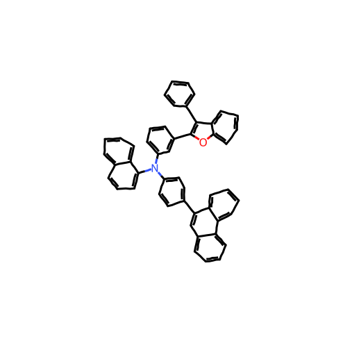 c1ccc(-c2c(-c3cccc(N(c4ccc(-c5cc6ccccc6c6ccccc56)cc4)c4cccc5ccccc45)c3)oc3ccccc23)cc1